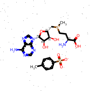 C[S+](CC[C@H](N)C(=O)O)C[C@H]1O[C@@H](n2cnc3c(N)ncnc32)[C@H](O)[C@@H]1O.Cc1ccc(S(=O)(=O)[O-])cc1